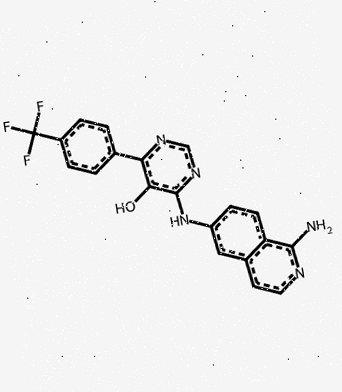 Nc1nccc2cc(Nc3ncnc(-c4ccc(C(F)(F)F)cc4)c3O)ccc12